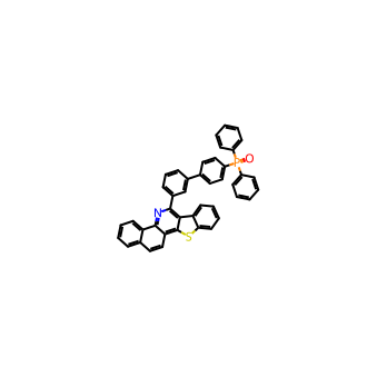 O=P(c1ccccc1)(c1ccccc1)c1ccc(-c2cccc(-c3nc4c5ccccc5ccc4c4sc5ccccc5c34)c2)cc1